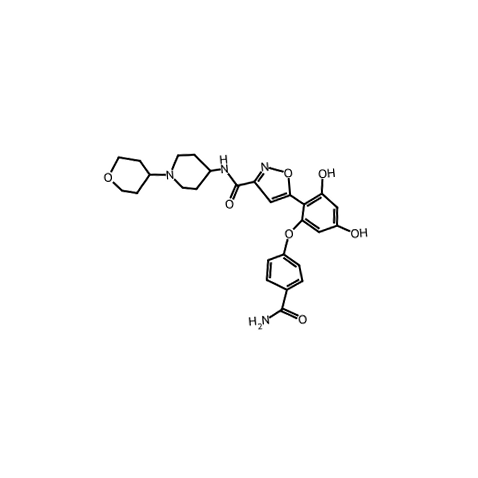 NC(=O)c1ccc(Oc2cc(O)cc(O)c2-c2cc(C(=O)NC3CCN(C4CCOCC4)CC3)no2)cc1